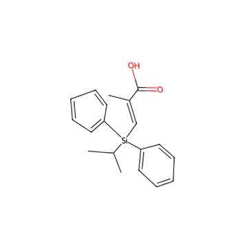 CC(=C[Si](c1ccccc1)(c1ccccc1)C(C)C)C(=O)O